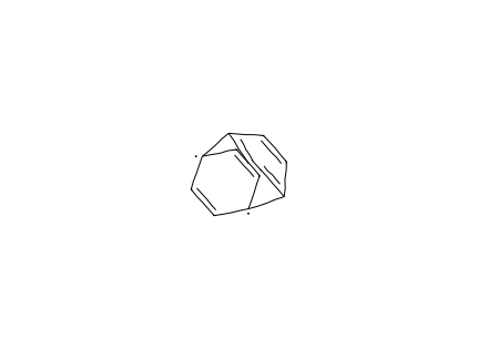 C1=C[C]2C=C[C]1c1ccc2cc1